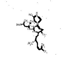 C=C=C(C[C@H](C)NC)N[C@H]1N/C(N2CCN[C@H](O)C2)=C/CC(C)C(CC[C@@H](C)C/C=C\C(=C)C(F)(F)F)N1